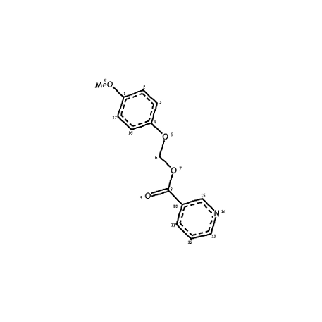 COc1ccc(OCOC(=O)c2cccnc2)cc1